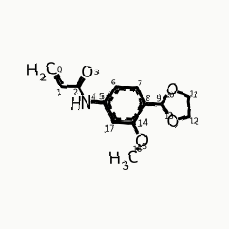 C=CC(=O)Nc1ccc(C2OCCO2)c(OC)c1